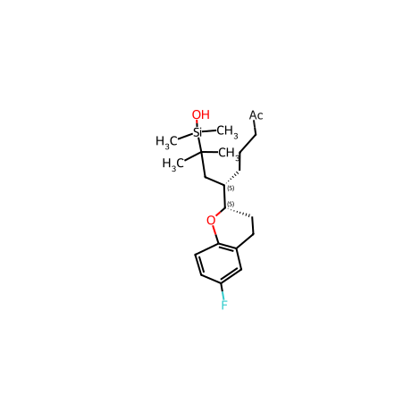 CC(=O)CCC[C@@H](CC(C)(C)[Si](C)(C)O)[C@@H]1CCc2cc(F)ccc2O1